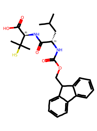 CC(C)C[C@H](NC(=O)OCC1c2ccccc2-c2ccccc21)C(=O)N[C@H](C(=O)O)C(C)(C)S